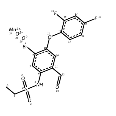 CCS(=O)(=O)Nc1cc(Br)c(Oc2ccc(F)cc2F)cc1C=O.[Mn+4].[O-2].[O-2]